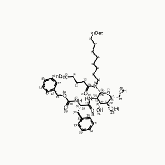 CCCCCCCCCCCCCCCCCCN(C(=O)CCCCCCCCCCCCC)[C@@H]1O[C@H](CO)[C@@H](O)[C@H](O)[C@H]1NC(=O)[C@H](Cc1ccccc1)NC(=O)OCc1ccccc1